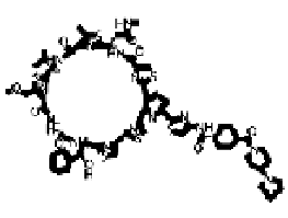 CNC(=O)C[C@@H]1NC(=O)c2csc(n2)-c2ccc(-c3nc(NC(=O)[C@H]4CC[C@H](C(=O)N5CCC(N6CCCC6)CC5)CC4)cs3)nc2-c2csc(n2)-c2csc(n2)[C@H]([C@@H](O)c2ccccc2)NC(=O)CNC(=O)c2nc(sc2COC)[C@H](C(C)C)NC(=O)c2nc1sc2C